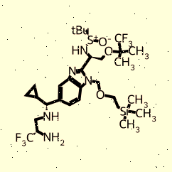 CC(C)(C)[S@@+]([O-])N[C@@H](COC(C)(C)C(F)(F)F)c1nc2cc([C@H](NC[C@H](N)C(F)(F)F)C3CC3)ccc2n1COCC[Si](C)(C)C